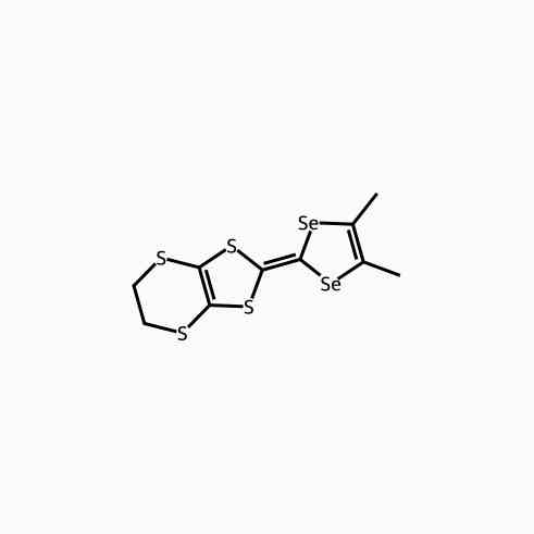 CC1=C(C)[Se]C(=C2SC3=C(SCCS3)S2)[Se]1